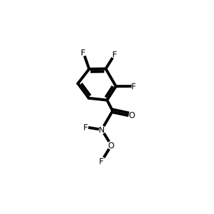 O=C(c1ccc(F)c(F)c1F)N(F)OF